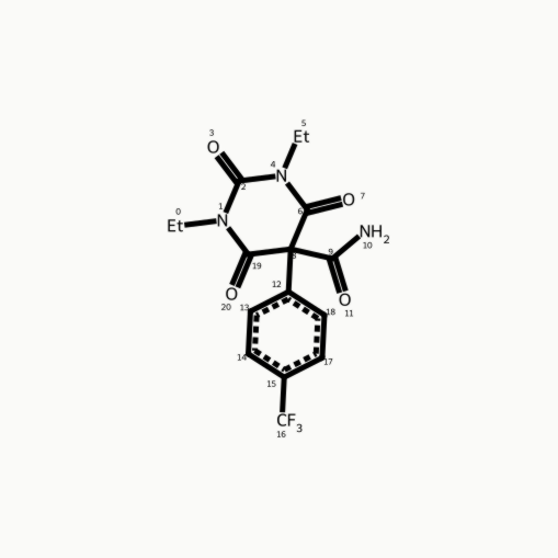 CCN1C(=O)N(CC)C(=O)C(C(N)=O)(c2ccc(C(F)(F)F)cc2)C1=O